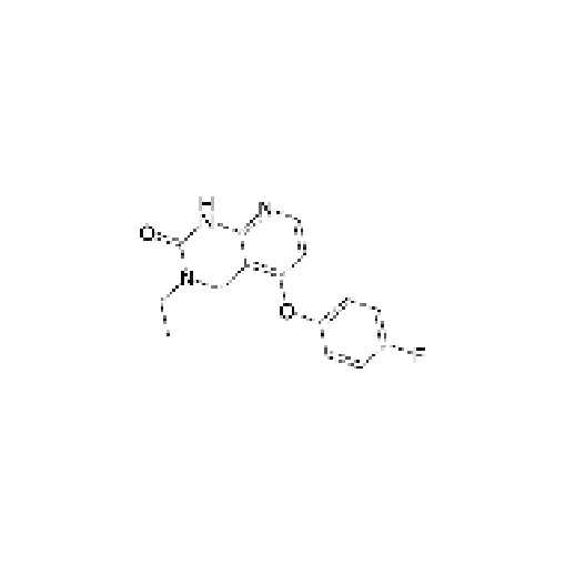 CCN1Cc2c(Oc3ccc(F)cc3)ccnc2NC1=O